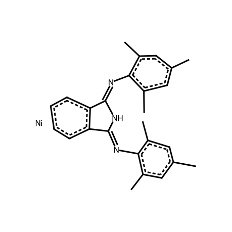 Cc1cc(C)c(N=C2NC(=Nc3c(C)cc(C)cc3C)c3ccccc32)c(C)c1.[Ni]